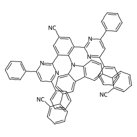 N#Cc1cc(-c2nc(-c3ccccc3)cc(-c3ccccc3)n2)c(-n2c3ccc(-c4ccccc4C#N)cc3c3cc(-c4ccccc4C#N)ccc32)c(-c2nc(-c3ccccc3)cc(-c3ccccc3)n2)c1